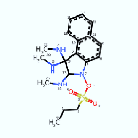 CCCS(=O)(=O)ON1c2ccc3ccccc3c2C(NC)(NC)C1NC